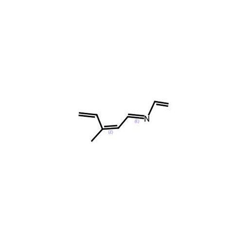 C=C/N=C/C=C(/C)C=C